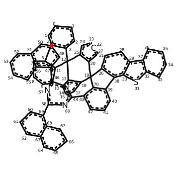 c1ccc2c(c1)-c1ccccc1C21c2ccccc2C2(c3ccccc31)c1ccc3c(sc4ccccc43)c1-c1cccc(-c3nc(-c4cccc5ccccc45)nc(-c4cccc5ccccc45)n3)c12